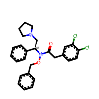 O=C(Cc1ccc(Cl)c(Cl)c1)N(OCc1ccccc1)[C@H](CN1CCCC1)c1ccccc1